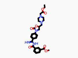 CCOC(=O)CN1CCN(CC2CN(c3ccc(C(=N)NC(=O)c4cccc(C(=O)OC)c4)cc3)C(=O)O2)CC1